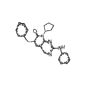 O=c1c(Cc2ccccc2)cc2cnc(Nc3ccccc3)nc2n1C1CCCC1